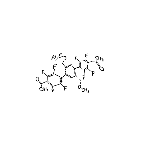 COCc1cc(-c2c(F)c(F)c(C(=O)O)c(F)c2F)c(COC)cc1-c1c(F)c(F)c(C(=O)O)c(F)c1F